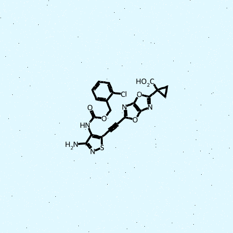 Nc1nsc(C#Cc2nc3oc(C4(C(=O)O)CC4)nc3o2)c1NC(=O)OCc1ccccc1Cl